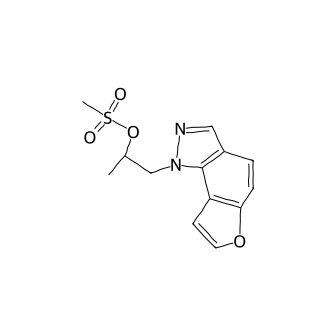 CC(Cn1ncc2ccc3occc3c21)OS(C)(=O)=O